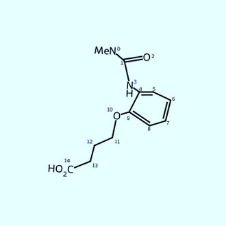 CNC(=O)Nc1ccccc1OCCCC(=O)O